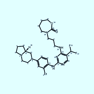 CCc1cc(N2CCN3CCC[C@@H]3C2)ccc1Nc1ncc(C(F)F)c(NCCCN2CCCCOC2=O)n1